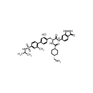 Cc1cc(S(=O)(=O)NC(C)C)ccc1-c1ccc(C[C@H](NC(=O)[C@H]2CC[C@H](CN)CC2)C(=O)Nc2ccc3c(=O)[nH][nH]c3c2)cc1.Cl